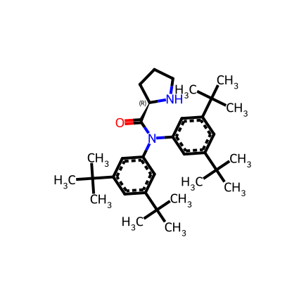 CC(C)(C)c1cc(N(C(=O)[C@H]2CCCN2)c2cc(C(C)(C)C)cc(C(C)(C)C)c2)cc(C(C)(C)C)c1